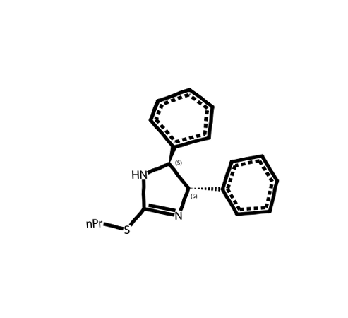 CCCSC1=N[C@@H](c2ccccc2)[C@H](c2ccccc2)N1